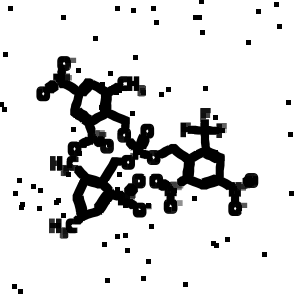 Cc1cc(C)c(COP(=O)(OCc2c(C)cc([N+](=O)[O-])cc2[N+](=O)[O-])OCc2c([N+](=O)[O-])cc([N+](=O)[O-])cc2C(F)(F)F)c([N+](=O)[O-])c1